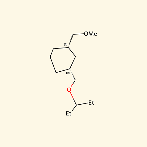 CCC(CC)OC[C@@H]1CCC[C@H](COC)C1